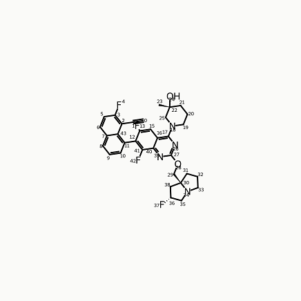 C#Cc1c(F)ccc2cccc(-c3c(F)cc4c(N5CCC[C@@](C)(O)C5)nc(OC[C@@]56CCCN5C[C@H](F)C6)nc4c3F)c12